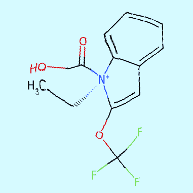 CC[N@@+]1(C(=O)O)C(OC(F)(F)F)=Cc2ccccc21